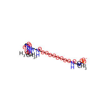 CC(C)(C)OC(=O)NCC(C(=O)NCCCCCNC(=O)CCOCCOCCOCCOCCOCCOCCOCCOCCNC(=O)CCC[N+](C)(C)CCCS(=O)(=O)[O-])N1C(=O)C=CC1=O